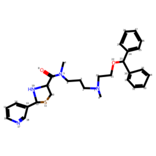 CN(CCCN(C)C(=O)C1CSC(c2cccnc2)N1)CCOC(c1ccccc1)c1ccccc1